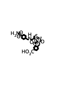 CN1C(=O)N(Cc2ccc(C(=O)O)cc2)C(=O)N2C(C(=O)NCc3ccc(S(N)(=O)=O)cc3)=CSC12